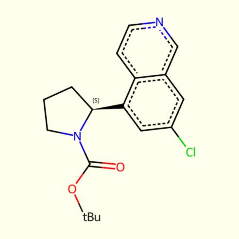 CC(C)(C)OC(=O)N1CCC[C@H]1c1cc(Cl)cc2cnccc12